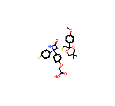 COc1ccc(C2(CS[C@H]3C(=O)N[C@@]3(c3ccc(F)cc3)c3ccc(OCC(=O)O)cc3)OCC(C)(C)CO2)cc1